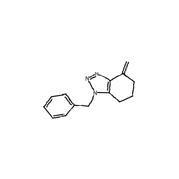 C=C1CCCc2c1nnn2Cc1ccccc1